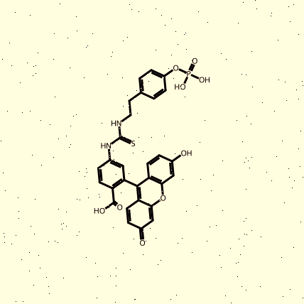 O=C(O)c1ccc(NC(=S)NCCc2ccc(OP(=O)(O)O)cc2)cc1-c1c2ccc(=O)cc-2oc2cc(O)ccc12